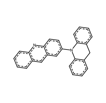 c1ccc2c(c1)Cc1ccccc1N2c1ccc2nc3ccccc3cc2c1